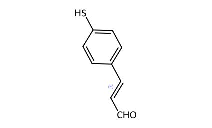 O=C/C=C/c1ccc(S)cc1